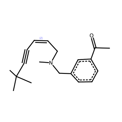 CC(=O)c1cccc(CN(C)C/C=C\C#CC(C)(C)C)c1